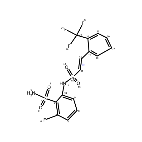 NS(=O)(=O)c1c(F)cccc1NS(=O)(=O)/C=C/c1ccccc1C(F)(F)F